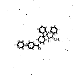 C[C@H](NC(=O)C1(c2ccccc2)CCN(C(=O)c2ccc(-c3cccnc3)cc2)CC1)c1ccccc1